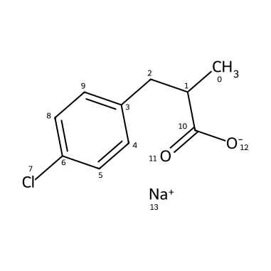 CC(Cc1ccc(Cl)cc1)C(=O)[O-].[Na+]